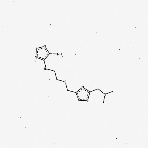 CN(C)Cc1nc(CSCCNc2nsnc2N)cs1